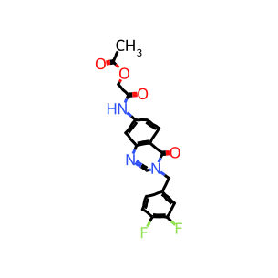 CC(=O)OCC(=O)Nc1ccc2c(=O)n(Cc3ccc(F)c(F)c3)cnc2c1